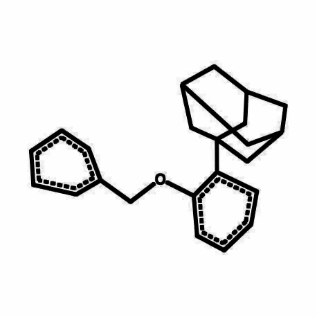 c1ccc(COc2ccccc2C23CC4CC(CC(C4)C2)C3)cc1